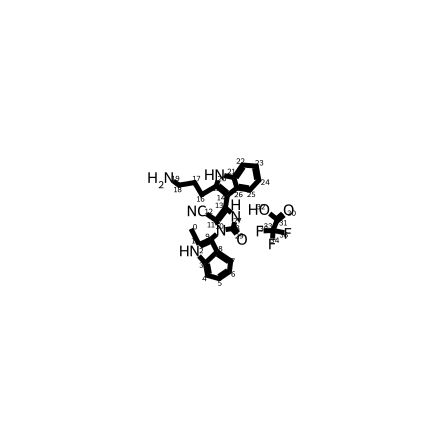 Cc1[nH]c2ccccc2c1-n1c(C#N)c(-c2c(CCCN)[nH]c3ccccc23)[nH]c1=O.O=C(O)C(F)(F)F